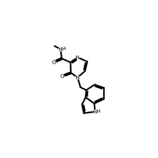 CNC(=O)c1nccn(Cc2cccc3[nH]ccc23)c1=O